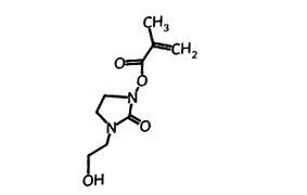 C=C(C)C(=O)ON1CCN(CCO)C1=O